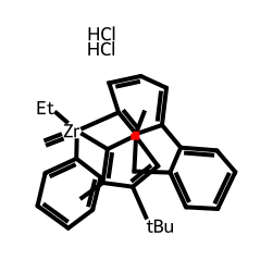 Cl.Cl.[CH2]=[Zr]([CH2]C)([C]1=C(C)C(C(C)(C)C)=CC1C)([c]1ccccc1)[c]1cccc2c1Cc1ccccc1-2